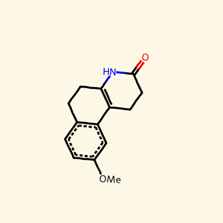 COc1ccc2c(c1)C1=C(CC2)NC(=O)CC1